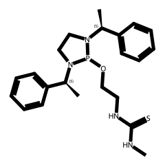 CNC(=S)NCCOP1N([C@@H](C)c2ccccc2)CCN1[C@@H](C)c1ccccc1